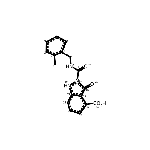 Cc1ccccc1CNC(=O)n1[nH]c2cccc(C(=O)O)c2c1=O